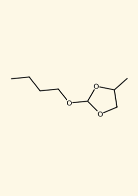 CCCCOC1OCC(C)O1